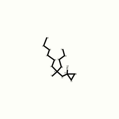 CCCCCCC(C)(CCCC)CC1(F)CC1